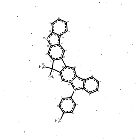 Cc1ccc(-n2c3ccccc3c3cc4c(cc32)C(C)(C)c2cc3oc5ccccc5c3cc2-4)cc1